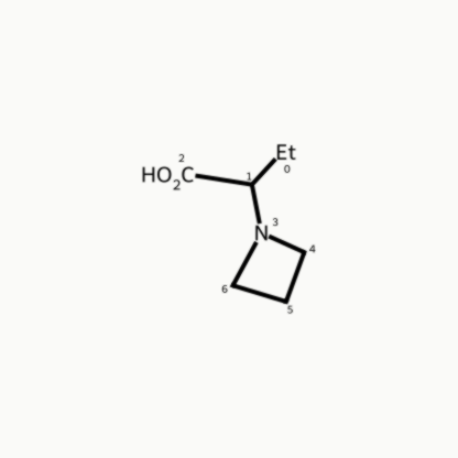 CCC(C(=O)O)N1CCC1